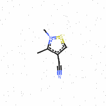 Cc1c(C#N)[c][s+]n1C